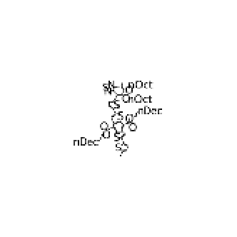 CCCCCCCCCCCCOC(=O)c1c2cc(-c3ccc(-c4c(OCCCCCCCC)c(OCCCCCCCC)c(C)c5nsnc45)s3)sc2c(C(=O)OCCCCCCCCCCCC)c2cc(-c3ccc(C)s3)sc12